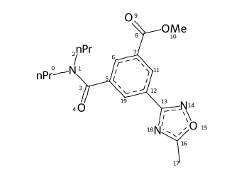 CCCN(CCC)C(=O)c1cc(C(=O)OC)cc(-c2noc(C)n2)c1